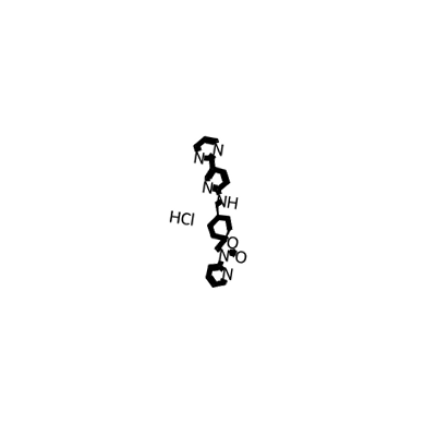 Cl.O=C1O[C@]2(CC[C@H](CNc3ccc(-c4ncccn4)cn3)CC2)CN1c1ccccn1